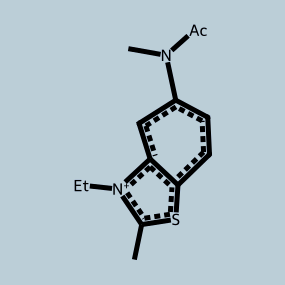 CC[n+]1c(C)sc2ccc(N(C)C(C)=O)cc21